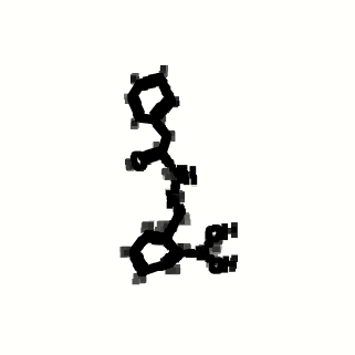 O=C(Cc1ccccc1)N/N=C/c1ccccc1B(O)O